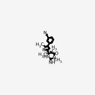 Cc1sc([C@@]2(C)NC(=N)N(C)C(=O)C2(C)C)cc1-c1cccc(C#N)c1